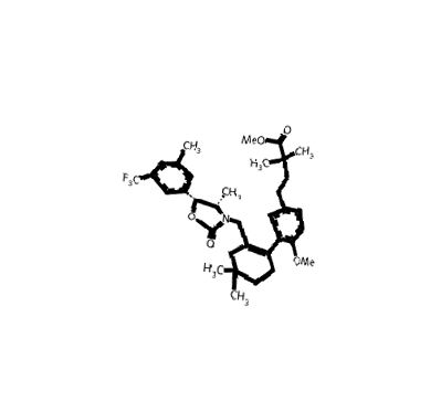 COC(=O)C(C)(C)CCc1ccc(OC)c(C2=C(CN3C(=O)O[C@H](c4cc(C)cc(C(F)(F)F)c4)[C@@H]3C)CC(C)(C)CC2)c1